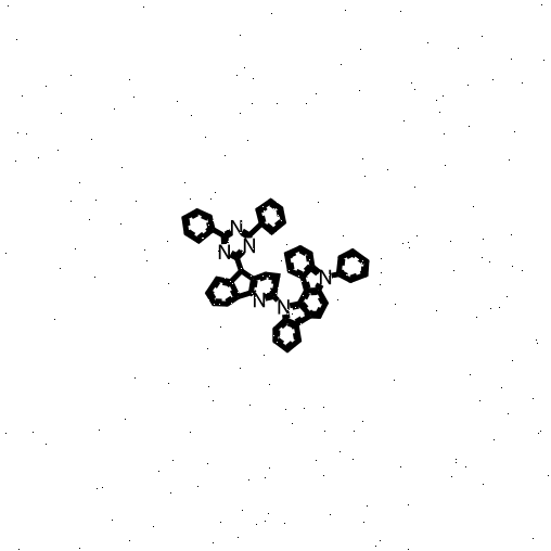 c1ccc(-c2nc(-c3ccccc3)nc(C3c4ccccc4-c4nc(-n5c6ccccc6c6ccc7c(c8ccccc8n7-c7ccccc7)c65)ccc43)n2)cc1